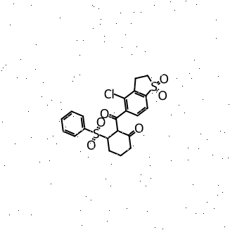 O=C1CCCC(S(=O)(=O)c2ccccc2)C1C(=O)c1ccc2c(c1Cl)CCS2(=O)=O